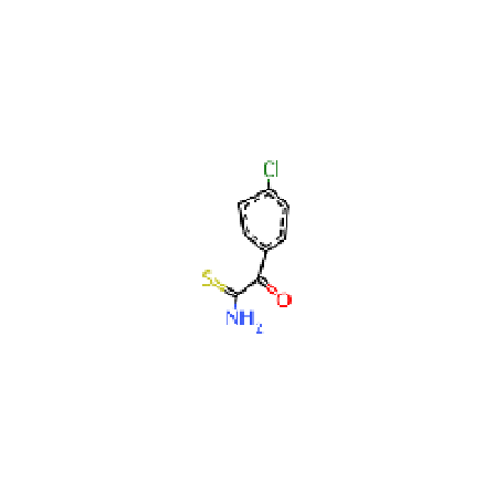 NC(=S)C(=O)c1ccc(Cl)cc1